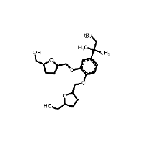 CC(C)(C)CC(C)(C)c1ccc(OCC2CCC(CO)O2)c(OCC2CCC(CO)O2)c1